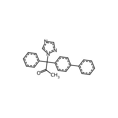 CC(=O)C(c1ccccc1)(c1ccc(-c2ccccc2)cc1)n1cncn1